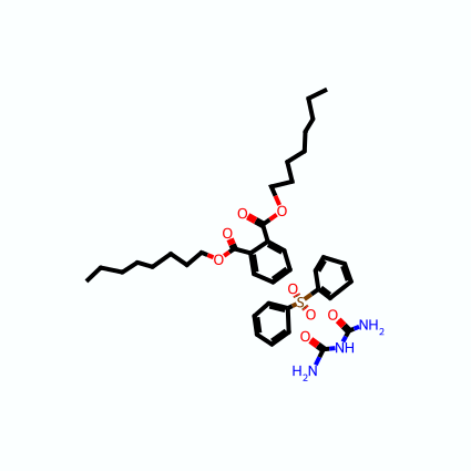 CCCCCCCCOC(=O)c1ccccc1C(=O)OCCCCCCCC.NC(=O)NC(N)=O.O=S(=O)(c1ccccc1)c1ccccc1